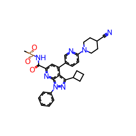 CS(=O)(=O)NC(=O)c1cc(-c2ccc(N3CCC(C#N)CC3)nc2)c2c(C3CCC3)nn(-c3ccccc3)c2n1